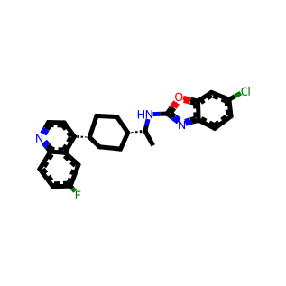 CC(Nc1nc2ccc(Cl)cc2o1)[C@H]1CC[C@@H](c2ccnc3ccc(F)cc32)CC1